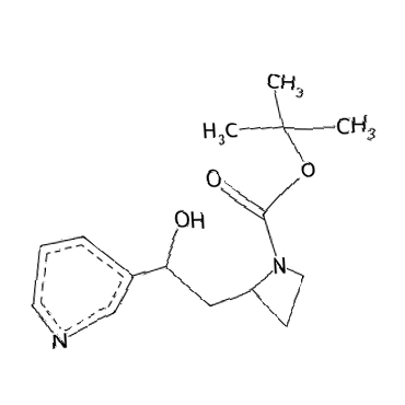 CC(C)(C)OC(=O)N1CCC1CC(O)c1cccnc1